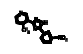 O=[N+]([O-])c1cccc(-c2nc(-c3cnccc3C(F)(F)F)n[nH]2)c1